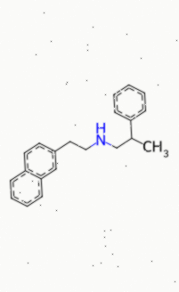 CC(CNCCc1ccc2ccccc2c1)c1ccccc1